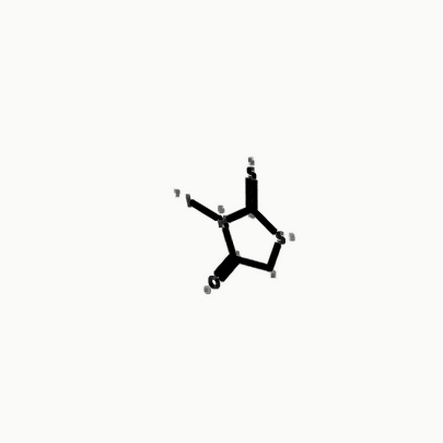 O=C1CSC(=S)N1I